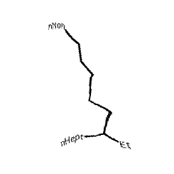 [CH2]CCCCCCCCCCCCCC(CC)CCCCCC[CH2]